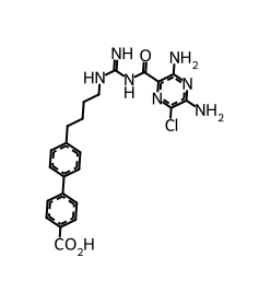 N=C(NCCCCc1ccc(-c2ccc(C(=O)O)cc2)cc1)NC(=O)c1nc(Cl)c(N)nc1N